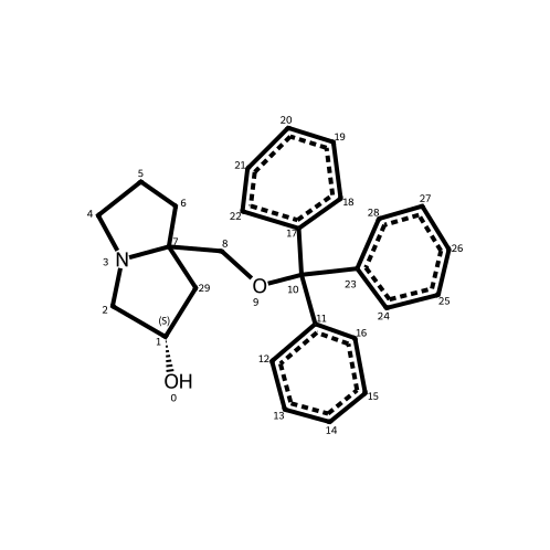 O[C@@H]1CN2CCCC2(COC(c2ccccc2)(c2ccccc2)c2ccccc2)C1